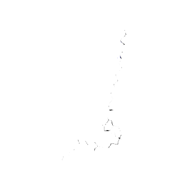 CC/C=C/CC/C=C/CCCCCCCCCC(=O)Oc1cc2c(c(C)c1C)OC(C)(CCCC(C)CCCC(C)CCCC(C)C)CC2